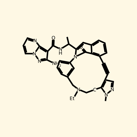 CCN1CCc2c(cnn2C)C#Cc2cccc3cc(C(C)NC(=O)c4c(N)nn5cccnc45)n(c(=O)c23)-c2cccc(c2)C1